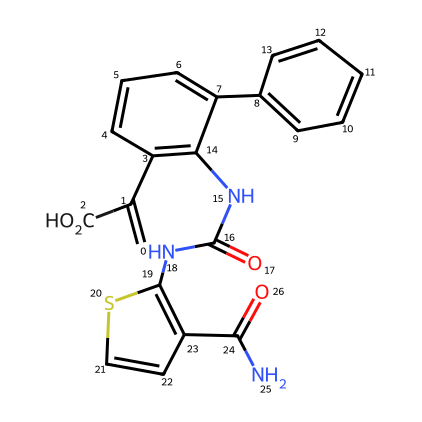 C=C(C(=O)O)c1cccc(-c2ccccc2)c1NC(=O)Nc1sccc1C(N)=O